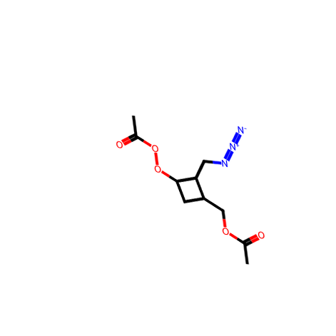 CC(=O)OCC1CC(OOC(C)=O)C1CN=[N+]=[N-]